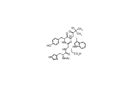 CCC(C)(C)C(=O)[C@H](Cc1c[nH]c2ccccc12)NC(=O)[C@H](Cc1ccc(O)cc1)NC(=O)[C@H](CCC(=O)O)NC(=O)[C@H](Cc1c[nH]cn1)NC(C)=O